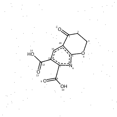 O=C1CCOc2nc(C(=O)O)c(C(=O)O)cc21